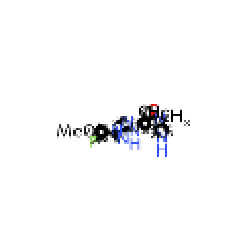 COc1ccc(-c2cnc3c(Nc4ccc(C(=O)N(C)C5CCNCC5)c(C)c4)nccn23)cc1F